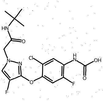 CC(C)(C)NC(=O)Cn1cc(F)c(Oc2cc(F)c(NC(=O)O)cc2Cl)n1